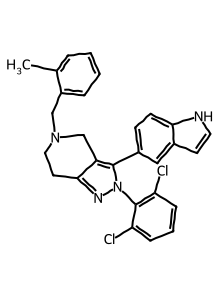 Cc1ccccc1CN1CCc2nn(-c3c(Cl)cccc3Cl)c(-c3ccc4[nH]ccc4c3)c2C1